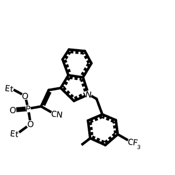 CCOP(=O)(OCC)/C(C#N)=C/c1cn(Cc2cc(C)cc(C(F)(F)F)c2)c2ccccc12